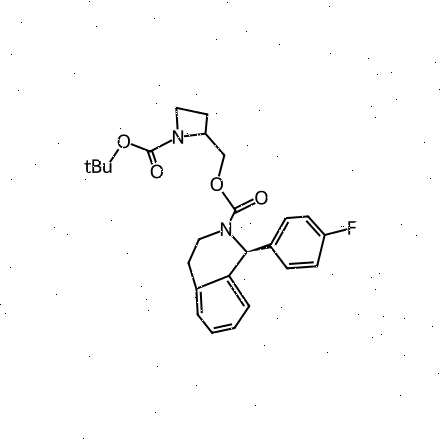 CC(C)(C)OC(=O)N1CCC1COC(=O)N1CCc2ccccc2[C@@H]1c1ccc(F)cc1